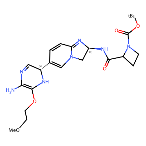 COCCOC1=C(N)N=C[C@H](C2=CN3C[C@H](NC(=O)C4CCN4C(=O)OC(C)(C)C)N=C3C=C2)N1